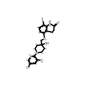 O=C1CCc2c(OCC3(O)CCN(c4ncc(Cl)cc4Cl)CC3)ccc(F)c2N1